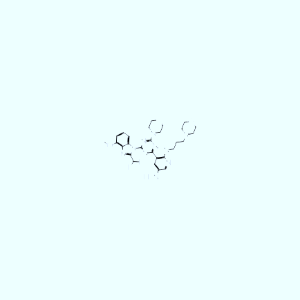 COc1cccc2c1nc(C(F)F)n2-c1nc(-c2cc(N)cnc2NCCCN2CCOCC2)nc(N2CCOCC2)n1